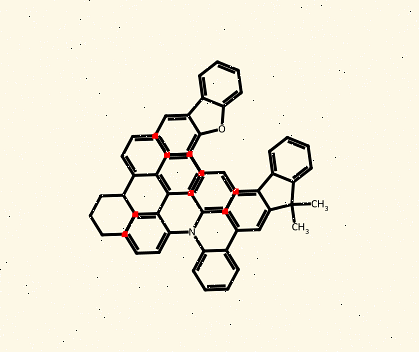 CC1(C)c2ccccc2-c2ccc(-c3ccccc3N(c3cccc(-c4cccc5c4oc4ccccc45)c3)c3ccccc3-c3cccc4cccc(C5CCCCC5)c34)cc21